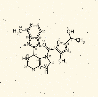 Cc1nc(C(C)O)oc1C(=O)N1CNC2=C1C(c1cc3cccc(C)n3n1)NCC2